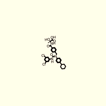 C[C@](O)(NC(=O)c1ccc(CN(C(=O)Nc2cc(Cl)cc(Cl)c2)c2ccc(C3CCCCC3)cc2)cc1)C(=O)O